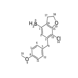 Bc1cc(Cc2ccc(OC)cc2)c(Cl)c2c1CCO2